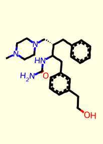 CN1CCN(C[C@H](Cc2ccccc2)C(Cc2cccc(CCO)c2)NC(N)=O)CC1